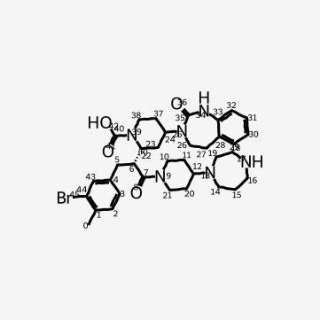 Cc1ccc(CC(C(=O)N2CCC(N3CCCNCC3)CC2)[C@H]2CC(N3CCc4ccccc4NC3=O)CCN2C(=O)O)cc1Br